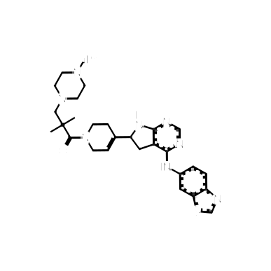 CC(C)N1CCN(CC(C)(C)C(=O)N2CC=C(C3Cc4c(Nc5ccc6ncsc6c5)ncnc4N3)CC2)CC1